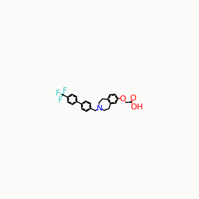 O=C(O)COc1ccc2c(c1)CCN(Cc1ccc(-c3ccc(C(F)(F)F)cc3)cc1)CC2